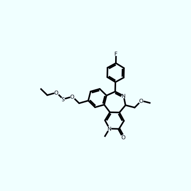 CCOSOCc1ccc2c(c1)-c1cn(C)c(=O)cc1C(COC)N=C2c1ccc(F)cc1